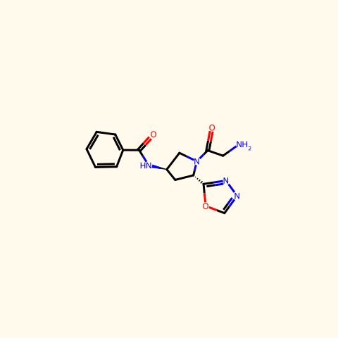 NCC(=O)N1C[C@H](NC(=O)c2ccccc2)C[C@H]1c1nnco1